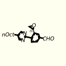 CCCCCCCCc1cnc(-c2ccc(C=O)cc2[C@H]2CO2)nc1